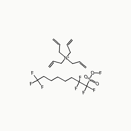 C=CC[N+](CC=C)(CC=C)CC=C.O=S(=O)(OF)C(F)(F)C(F)(F)CCCCCC(F)(F)F